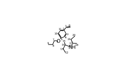 C=Cc1ccc(OCCC)cc1.CCC(C)NC(C)CC